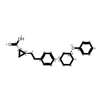 O=C(O)[C@H]1C[C@@H]1CCc1ccc([C@H]2CCC[C@@H](Oc3ccccc3)C2)cc1